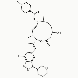 C=C(O[C@H]1/C=C/C(C)[C@@H](/C(C)=C/c2cc(F)c3nnn([C@@H]4CCCOC4)c3c2)OC(=O)CC(O)CCC1C)N1CCN(C)CC1